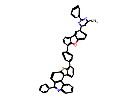 Cc1cc(-c2ccc3oc4c(-c5ccc(-c6cccc7c6sc6ccc8c(-c9ccccc9)nc9ccccc9c8c67)cc5)cccc4c3c2)nc(-c2ccccc2)n1